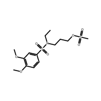 CCN(CCCOS(C)(=O)=O)S(=O)(=O)c1ccc(OC)c(OC)c1